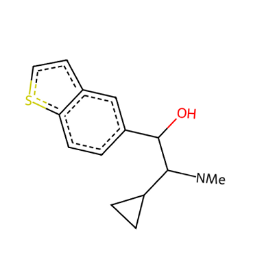 CNC(C1CC1)C(O)c1ccc2sccc2c1